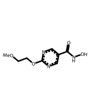 COCCOc1ncc(C(=O)NO)cn1